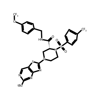 CC(C)(C)c1ncc2sc(N3CCN(S(=O)(=O)c4ccc(C(F)(F)F)cc4)[C@@H](C(=O)NCc4ccc(OC(F)(F)F)cc4)C3)nc2n1